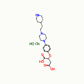 Cl.Cl.O=C(O)CC(Oc1ccc(N2CCN(CCC3CCNCC3)CC2)cc1)C(=O)O